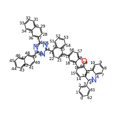 c1ccc(-c2nc3ccccc3c3c2ccc2c4cc(-c5ccc(-c6nc(-c7ccc8ccccc8c7)nc(-c7ccc8ccccc8c7)n6)c6ccccc56)ccc4oc23)cc1